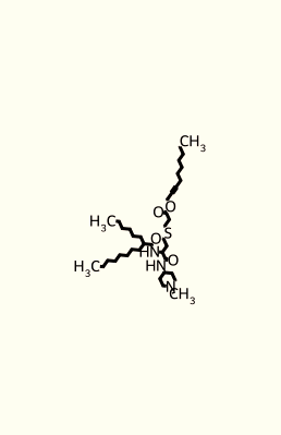 CCCCCCCC#CCOC(=O)CCSCCC(NC(=O)C(CCCCCC)CCCCCCCC)C(=O)NC1CCN(C)CC1